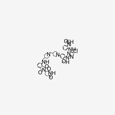 COc1cc(N2CCC(CN3CCC(CNc4cccc5c4C(=O)N(C4CCC(=O)NC4=O)C5=O)CC3)CC2)ccc1Nc1ncc(Cl)c(Nc2ccccc2N(C)[SH]=O)n1